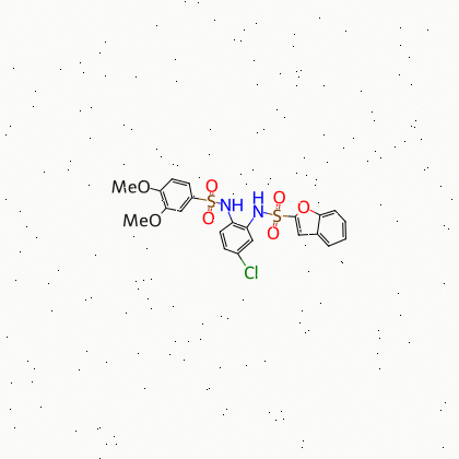 COc1ccc(S(=O)(=O)Nc2ccc(Cl)cc2NS(=O)(=O)c2cc3ccccc3o2)cc1OC